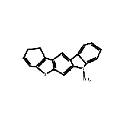 Nn1c2ccccc2c2cc3c4c(sc3cc21)C=CCC4